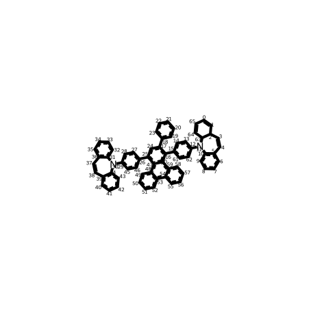 C1=CC2C=Cc3ccccc3N(c3ccc(-c4c(-c5ccccc5)cc(-c5ccc(N6c7ccccc7C=Cc7ccccc76)cc5)c5c6ccccc6c6ccccc6c45)cc3)C2C=C1